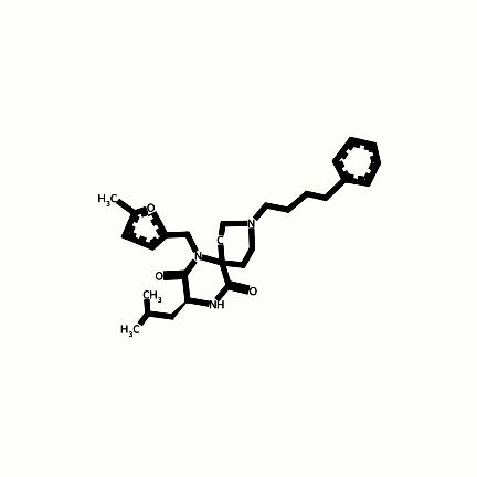 Cc1ccc(CN2C(=O)[C@H](CC(C)C)NC(=O)C23CCN(CCCCc2ccccc2)CC3)o1